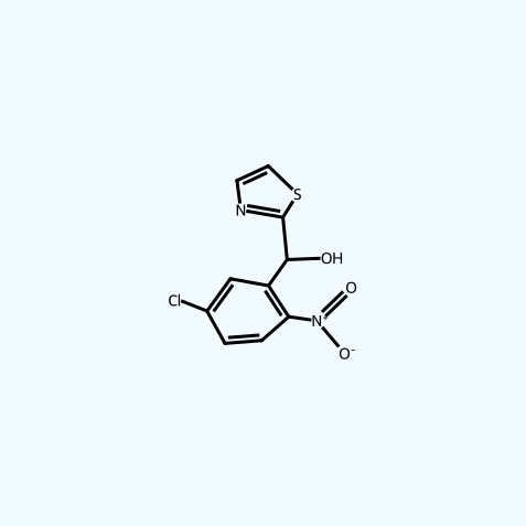 O=[N+]([O-])c1ccc(Cl)cc1C(O)c1nccs1